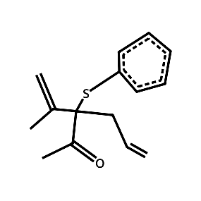 C=CCC(Sc1ccccc1)(C(=C)C)C(C)=O